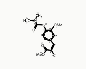 COC(=O)/C(Cl)=C\c1ccc(SC(=O)N(C)C)c(OC)c1